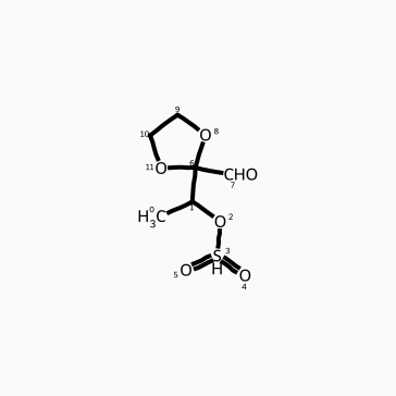 CC(O[SH](=O)=O)C1(C=O)OCCO1